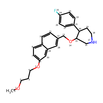 COCCCOc1ccc2ccc(COC3CNCCC3c3ccc(F)cc3)cc2c1